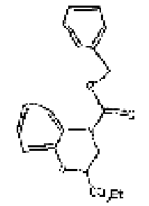 CCOC(=O)C1CN(C(=O)OCc2ccccc2)c2ccccc2O1